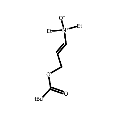 CC[N+]([O-])(/C=C/COC(=O)C(C)(C)C)CC